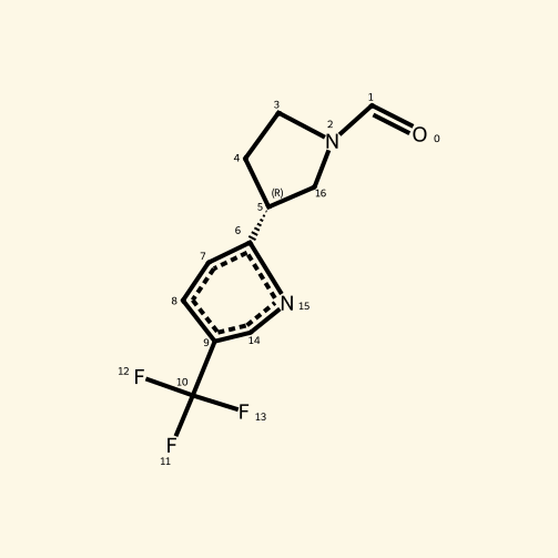 O=CN1CC[C@@H](c2ccc(C(F)(F)F)cn2)C1